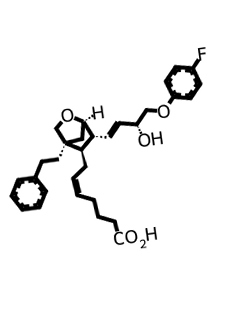 O=C(O)CCC/C=C\C[C@@H]1[C@@H](/C=C/[C@@H](O)COc2ccc(F)cc2)[C@H]2C[C@]1(CCc1ccccc1)CO2